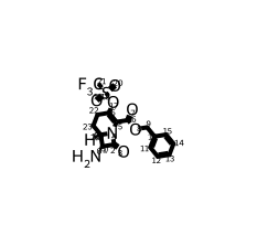 N[C@@H]1C(=O)N2C(C(=O)OCc3ccccc3)=C(OS(=O)(=O)C(F)(F)F)CC[C@@H]12